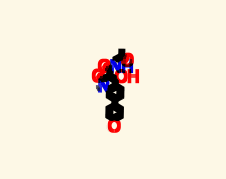 COc1ccc(-c2ccc3c(O)c(C(=O)NCC(C)=O)c(=O)n(C)c3c2)cc1